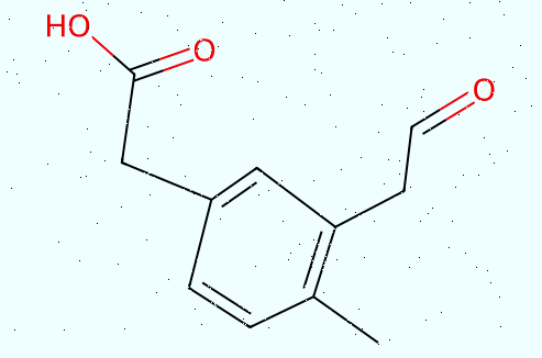 Cc1ccc(CC(=O)O)cc1CC=O